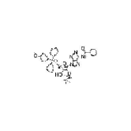 COc1ccc(C(OC[C@H]2O[C@@H](n3cnc4c(NC(=O)c5ccccc5)ncnc43)C(O[Si](C)(C)C(C)(C)C)C2O)(c2ccccc2)c2ccccc2)cc1